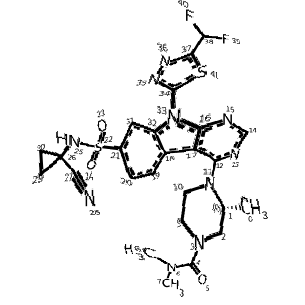 C[C@@H]1CN(C(=O)N(C)C)CCN1c1ncnc2c1c1ccc(S(=O)(=O)NC3(C#N)CC3)cc1n2-c1nnc(C(F)F)s1